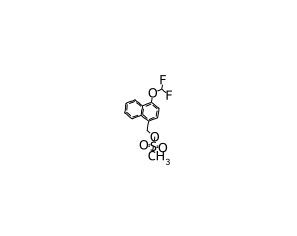 CS(=O)(=O)OCc1ccc(OC(F)F)c2ccccc12